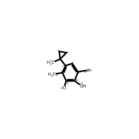 Cc1c(C2(C)CC2)cc(C(C)C)c(O)c1Cl